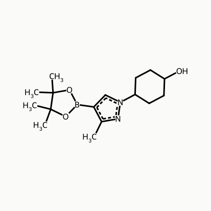 Cc1nn(C2CCC(O)CC2)cc1B1OC(C)(C)C(C)(C)O1